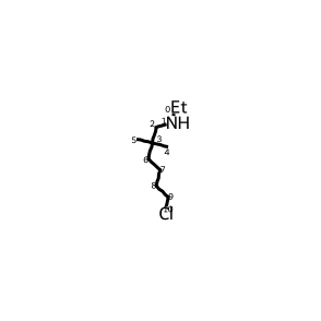 CCNCC(C)(C)CCCCCl